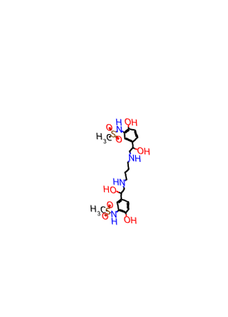 CS(=O)(=O)Nc1cc(C(O)CNCCCCNCC(O)c2ccc(O)c(NS(C)(=O)=O)c2)ccc1O